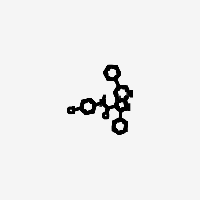 CN(C(=O)c1c(-c2ccccc2)nc2ncc(-c3ccccc3)cn12)c1ccc(Cl)cc1